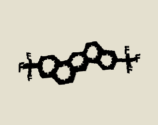 FC(F)(F)c1ccc2c(ccc3cc4c(ccc5cc(C(F)(F)F)ccc54)cc32)c1